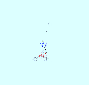 CCCCCCCCCCSc1ncc(-c2ccc(O[C@H](C)C(=O)OCc3ccccc3)cc2)cn1